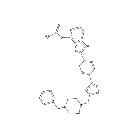 NC(=O)Oc1cccc2[nH]c(-c3ccc(-n4ccc(CN5CCN(Cc6ccccc6)CC5)c4)cc3)nc12